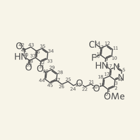 COc1cc2ncnc(Nc3cccc(Cl)c3F)c2cc1OCCOCCCc1ccc(Oc2cccc3c2C(=O)NC(=O)C3)cc1